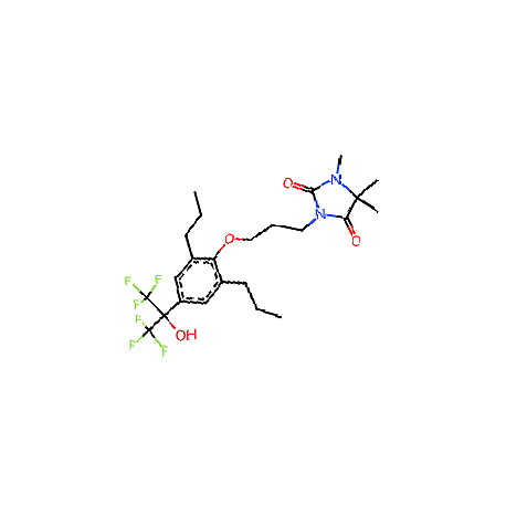 CCCc1cc(C(O)(C(F)(F)F)C(F)(F)F)cc(CCC)c1OCCCN1C(=O)N(C)C(C)(C)C1=O